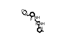 Cc1cccc(-c2nc(CNc3cccc(CN4CCOCC4)c3F)c[nH]2)n1